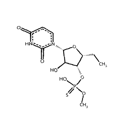 CC[C@H]1O[C@@H](n2ccc(=O)[nH]c2=O)C(O)[C@H]1OP(O)(=S)OC